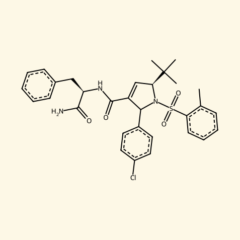 Cc1ccccc1S(=O)(=O)N1C(c2ccc(Cl)cc2)C(C(=O)N[C@H](Cc2ccccc2)C(N)=O)=C[C@H]1C(C)(C)C